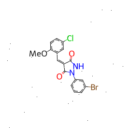 COc1ccc(Cl)cc1C=C1C(=O)NN(c2cccc(Br)c2)C1=O